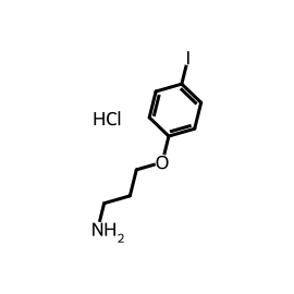 Cl.NCCCOc1ccc(I)cc1